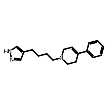 C1=C(c2ccccc2)CCN(CCCCc2cn[nH]c2)C1